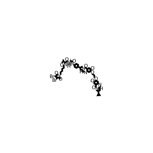 COc1cc2c(cc1OCCCOc1cc3c(cc1OC)C(=O)N1C=C(C4CC4)C[C@@H]1C=N3)N=C[C@H]1CC(c3ccc(NC(=O)[C@@H](C)NC(=O)[C@H](NC(=O)CCCCCN4C(=O)C(Br)=C(Br)C4=O)C(C)C)cc3)=CN1C2=O